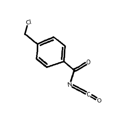 O=C=NC(=O)c1ccc(CCl)cc1